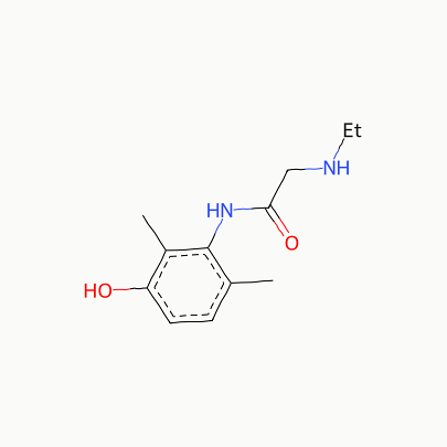 CCNCC(=O)Nc1c(C)ccc(O)c1C